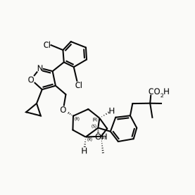 C[C@H]1C[C@@H]2C[C@@H](OCc3c(-c4c(Cl)cccc4Cl)noc3C3CC3)C[C@H]1[C@]2(O)c1cccc(CC(C)(C)C(=O)O)c1